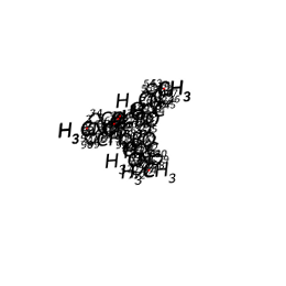 Cc1cccc(C)c1N(c1cc2c3c(c1)Oc1cc4c(cc1B3c1ccccc1O2)B1c2cc3c(cc2Oc2cc(N(c5c(C)cccc5C)c5c(C)cccc5C)cc(c21)O4)Oc1cc(N(c2c(C)cccc2C)c2c(C)cccc2C)cc2c1B3c1ccccc1O2)c1c(C)cccc1C